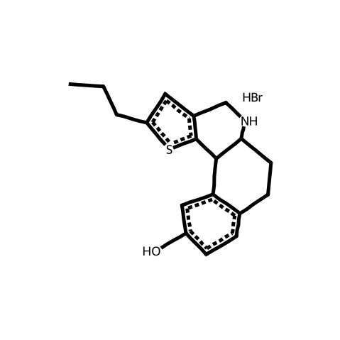 Br.CCCc1cc2c(s1)C1c3cc(O)ccc3CCC1NC2